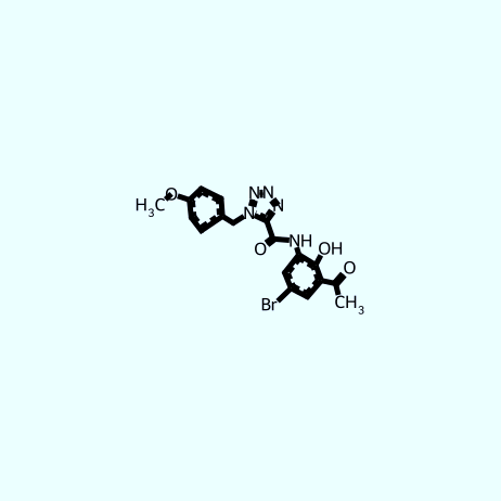 COc1ccc(Cn2nnnc2C(=O)Nc2cc(Br)cc(C(C)=O)c2O)cc1